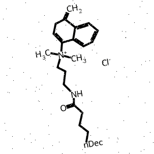 C=C1CC=C([N+](C)(C)CCCNC(=O)CCCCCCCCCCCCC)c2ccccc21.[Cl-]